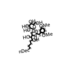 CCCCCCCCCCCCCCC(O)C(O)C(COC1OC(CO)C(O)C(O)C1O)NC(=O)Cc1cc(OC)ccc1OC